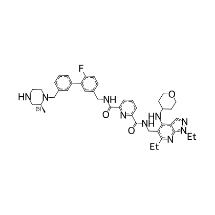 CCc1nc2c(cnn2CC)c(NC2CCOCC2)c1CNC(=O)c1cccc(C(=O)NCc2ccc(F)c(-c3cccc(CN4CCNC[C@@H]4C)c3)c2)n1